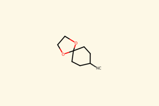 [C-]#[N+]C1CCC2(CC1)OCCO2